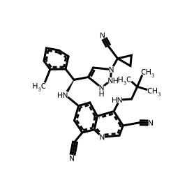 Cc1ccccc1[C@H](Nc1cc(C#N)c2ncc(C#N)c(NCC(C)(C)C)c2c1)C1=CN(C2(C#N)CC2)NN1